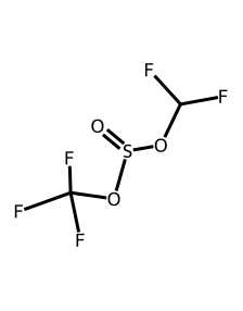 O=S(OC(F)F)OC(F)(F)F